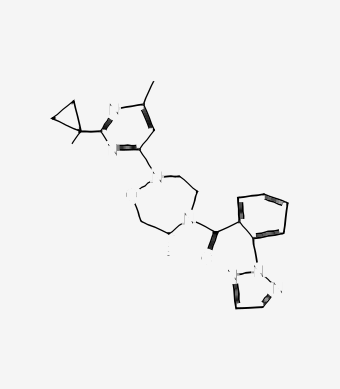 Cc1cc(N2CCN(C(=O)c3ccccc3-n3nccn3)[C@H](C)CO2)nc(C2(C)CC2)n1